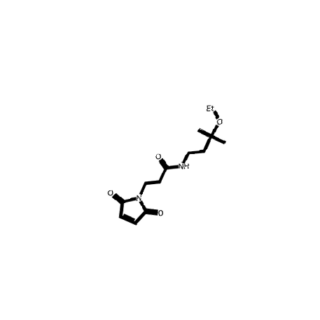 CCOC(C)(C)CCNC(=O)CCN1C(=O)C=CC1=O